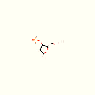 B[C@@H]1O[C@H](COC)C(OP(C)(C)=O)[C@@H]1F